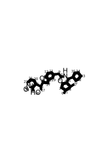 Cc1ccc([C@@H](NC(=O)Cc2ccc3oc(C(CO)c4ccc[n+]([O-])c4C)cc3c2)c2ccccc2)c(C)c1